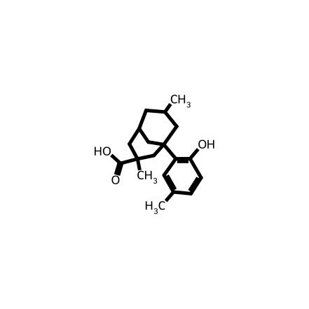 Cc1ccc(O)c(C23CC(C)CC(CC(C)(C(=O)O)C2)C3)c1